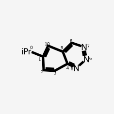 CC(C)c1ccc2nnncc2c1